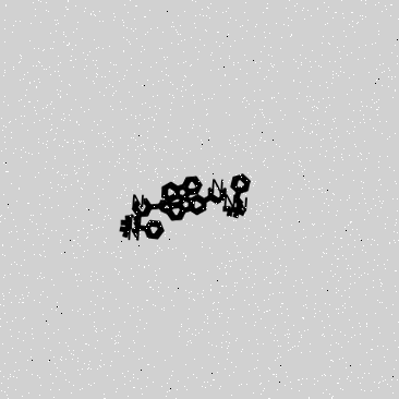 CC1(C)N=C(c2ccccc2)N(c2cncc(-c3ccc4c(c3)C3(c5ccccc5-c5ccccc53)c3c-4ccc4cc(-c5cncc(N6C(c7ccccc7)=NC(C)(C)C6(C)C)c5)ccc34)c2)C1(C)C